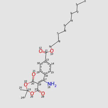 CCCCCCCCCCOC(=O)c1ccc(C(N)=C2C(=O)OC(C)(C)OC2=O)cc1